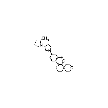 C[C@H]1CCCN1[C@@H]1CCN(c2ccc(N3CCCC4(CCOCC4)C3=O)c(F)c2)C1